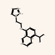 CC(C)c1ccc(OCCn2ccnn2)c2cnccc12